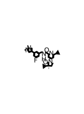 Cn1cc(-c2cc(F)cc(CNC(=O)c3cc(N4CC[C@@](C)(C5CC5)C4=O)cc(C4CC4)n3)c2)cn1